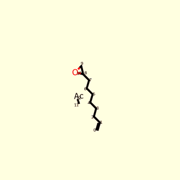 C=CCCCCCCC1CO1.CC(C)=O